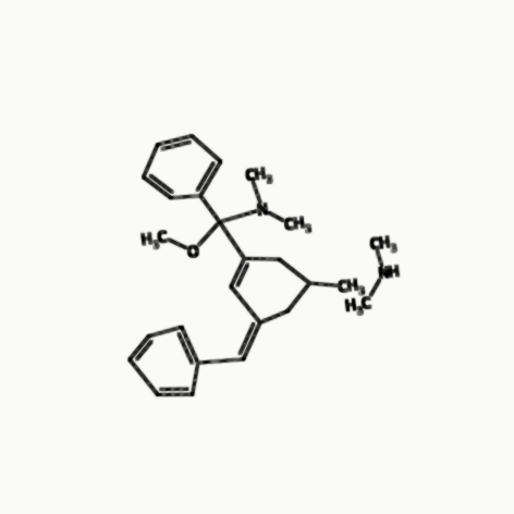 CNC.COC(C1=CC(=Cc2ccccc2)CC(C)C1)(c1ccccc1)N(C)C